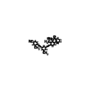 Cc1cc(C#Cc2ccc(C#N)cc2C)cc(C#Cc2ccc(C3=NCCCN3C(=O)OC(C)(C)C)cc2C)c1